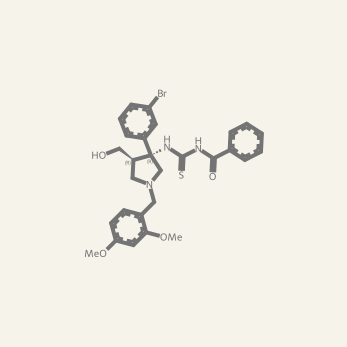 COc1ccc(CN2C[C@@H](CO)[C@@](NC(=S)NC(=O)c3ccccc3)(c3cccc(Br)c3)C2)c(OC)c1